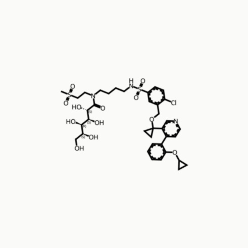 CS(=O)(=O)CCN(CCCCNS(=O)(=O)c1ccc(Cl)c(COC2(c3cnccc3-c3ccccc3OC3CC3)CC2)c1)C(=O)[C@@H](O)[C@@H](O)[C@H](O)[C@@H](O)CO